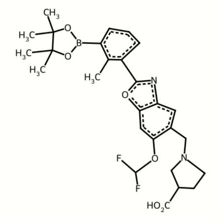 Cc1c(B2OC(C)(C)C(C)(C)O2)cccc1-c1nc2cc(CN3CCC(C(=O)O)C3)c(OC(F)F)cc2o1